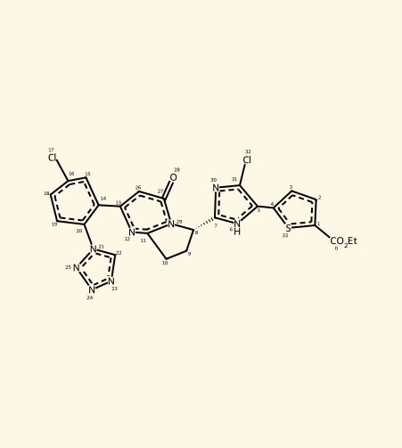 CCOC(=O)c1ccc(-c2[nH]c([C@@H]3CCc4nc(-c5cc(Cl)ccc5-n5cnnn5)cc(=O)n43)nc2Cl)s1